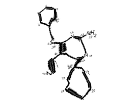 N#Cc1c(Sc2ccccc2)nc(N)nc1-c1ccccc1